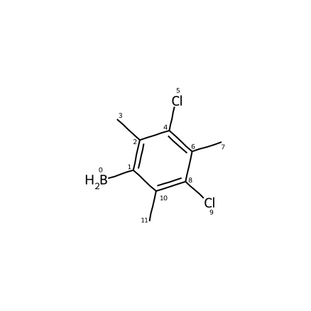 Bc1c(C)c(Cl)c(C)c(Cl)c1C